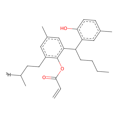 [3H]C(C)CCc1cc(C)cc(C(CCCC)c2cc(C)ccc2O)c1OC(=O)C=C